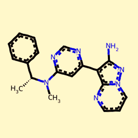 C[C@H](c1ccccc1)N(C)c1cc(-c2c(N)nn3cccnc23)ncn1